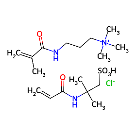 C=C(C)C(=O)NCCC[N+](C)(C)C.C=CC(=O)NC(C)(C)CS(=O)(=O)O.[Cl-]